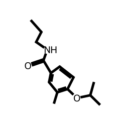 CCCNC(=O)c1ccc(OC(C)C)c(C)c1